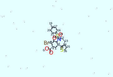 COC(=O)c1cc2c(cc1Br)N(S(=O)(=O)c1ccc(C)cc1)CCc1ccsc1-2